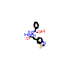 O=C1NC(N[C@H](CO)c2ccccc2)=N/C1=C\c1ccc2ncsc2c1